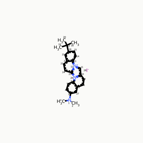 CN(C)c1ccc2c(ccc3c[n+]4c5ccc(C(C)(C)C)cc5ccc4n32)c1.[I-]